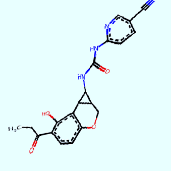 CCC(=O)c1ccc2c(c1O)C1C(CO2)C1NC(=O)Nc1ccc(C#N)cn1